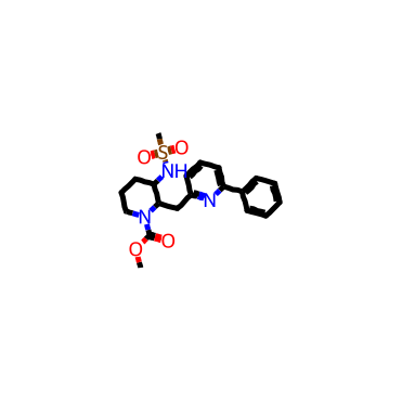 COC(=O)N1CCCC(NS(C)(=O)=O)C1Cc1cccc(-c2ccccc2)n1